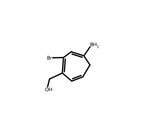 BC1=CC(Br)=C(CO)C=CC1